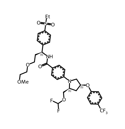 CCS(=O)(=O)c1ccc([C@H](CCOCCOC)NC(=O)c2ccc(N3C[C@@H](Oc4ccc(C(F)(F)F)cc4)C[C@H]3COC(F)F)cc2)cc1